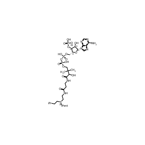 CCCC(C)[SH](CCNC(=O)CCNC(=O)C(O)C(C)(C)COP(=O)(O)OP(=O)(O)OC[C@H]1O[C@@H](n2cnc3c(N)ncnc32)[C@H](O)[C@@H]1OP(=O)(O)O)CCC(C)C